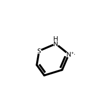 C1=CSN[N+]=C1